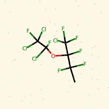 CC(F)(F)C(F)(OC(F)(Cl)C(F)(Cl)Cl)C(F)(F)Cl